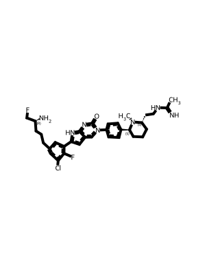 CC(=N)NCC[C@@H]1CCC[C@@H](c2ccc(-n3cc4cc(-c5cc(CCC[C@@H](N)CF)cc(Cl)c5F)[nH]c4nc3=O)cc2)N1C